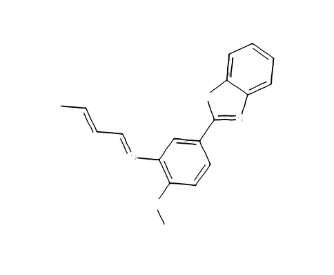 C/C=C/C=Nc1cc(-c2nc3ccccc3s2)ccc1OCCC